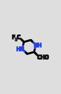 O=CC1CNC(C(F)(F)F)CN1